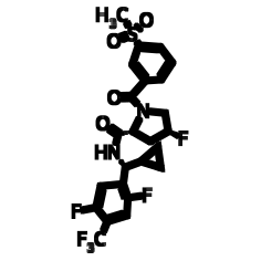 CS(=O)(=O)c1cccc(C(=O)N2C[C@@H](F)C[C@@H]2C(=O)N[C@@H](c2cc(F)c(C(F)(F)F)cc2F)C2CC2)c1